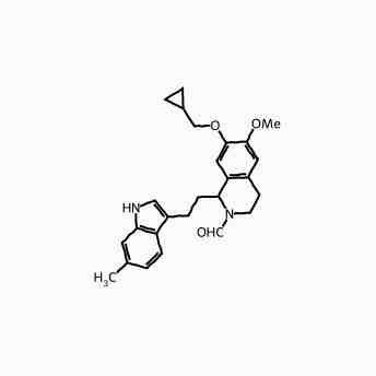 COc1cc2c(cc1OCC1CC1)C(CCc1c[nH]c3cc(C)ccc13)N(C=O)CC2